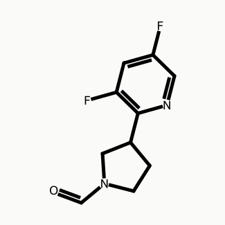 O=CN1CCC(c2ncc(F)cc2F)C1